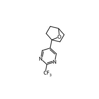 FC(F)(F)c1ncc(C23CCC(CC2)O3)cn1